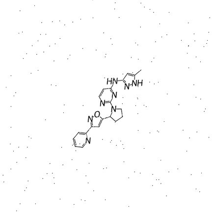 Cc1cc(Nc2ccnc(N3CCCC3c3cc(-c4ccccn4)no3)n2)n[nH]1